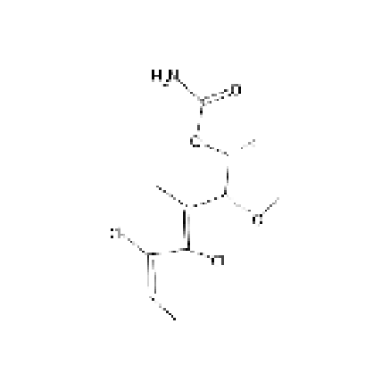 C/C=C(Cl)\C(Cl)=C(/C)[C@@H](OC)[C@@H](C)OC(N)=O